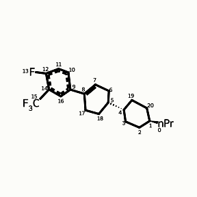 CCC[C@H]1CC[C@H](C2CC=C(c3ccc(F)c(C(F)(F)F)c3)CC2)CC1